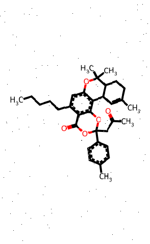 CCCCCc1cc2c(c3c1C(=O)OC(CC(C)=O)(c1ccc(C)cc1)O3)C1C=C(C)CCC1C(C)(C)O2